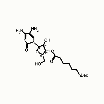 CCCCCCCCCCCCCCCC(=O)O[C@H]1[C@H](O)[C@H](n2cc(N)c(N)nc2=O)O[C@@H]1CO